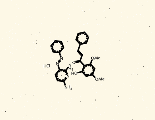 COc1cc(O)c(C(=O)C=Cc2ccccc2)c(OC)c1.Cl.Nc1ccc(N=Nc2ccccc2)c(N)n1